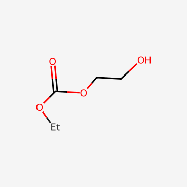 CCOC(=O)OCCO